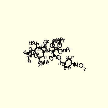 CCCOP(OCCC)(OCCC)=C(C(=O)OCc1ccc([N+](=O)[O-])cc1)N1C(=O)C(C(CO[SiH](C)C)C(C)(C)C)C1CC(=O)SC